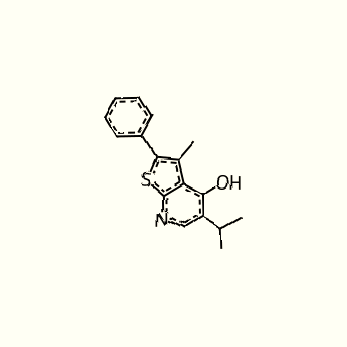 Cc1c(-c2ccccc2)sc2ncc(C(C)C)c(O)c12